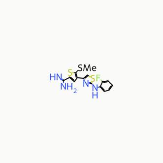 CSc1sc(C(=N)N)cc1-c1csc(Nc2ccccc2F)n1